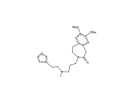 COc1cc2c(cc1OC)CC(=O)N(CCCN(C)CCc1ccsc1)CC2